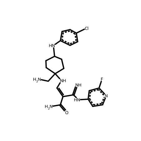 N=C(Nc1ccnc(F)c1)/C(=C\NC1(CN)CCC(Nc2ccc(Cl)cc2)CC1)C(N)=O